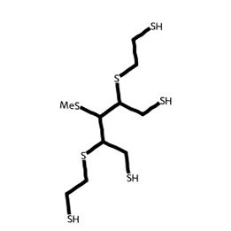 CSC(C(CS)SCCS)C(CS)SCCS